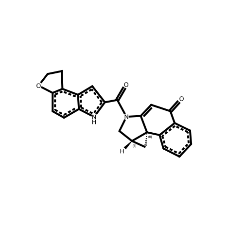 O=C1C=C2N(C(=O)c3cc4c5c(ccc4[nH]3)OCC5)C[C@H]3C[C@@]23c2ccccc21